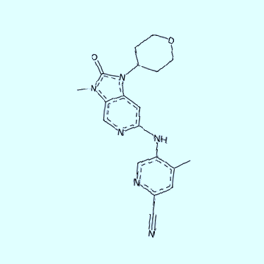 Cc1cc(C#N)ncc1Nc1cc2c(cn1)n(C)c(=O)n2C1CCOCC1